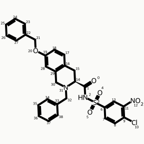 O=C(NS(=O)(=O)c1ccc(Cl)c([N+](=O)[O-])c1)[C@@H]1Cc2ccc(OCc3ccccc3)cc2CN1Cc1ccccc1